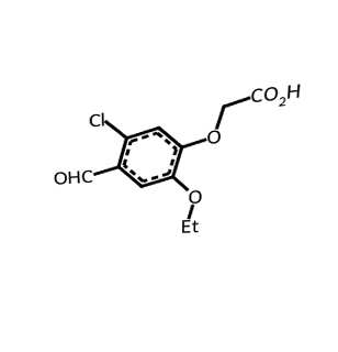 CCOc1cc(C=O)c(Cl)cc1OCC(=O)O